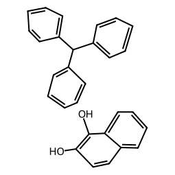 Oc1ccc2ccccc2c1O.c1ccc(C(c2ccccc2)c2ccccc2)cc1